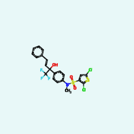 CN(c1ccc(C(O)(C=Cc2ccccc2)C(F)(F)F)cc1)S(=O)(=O)c1cc(Cl)sc1Cl